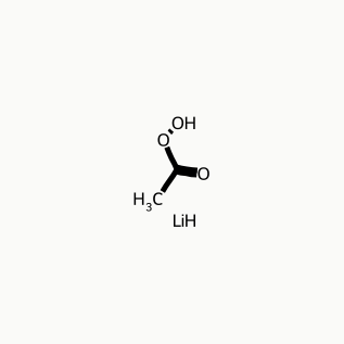 CC(=O)OO.[LiH]